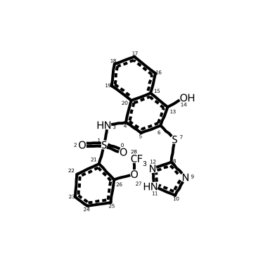 O=S(=O)(Nc1cc(Sc2nc[nH]n2)c(O)c2ccccc12)c1ccccc1OC(F)(F)F